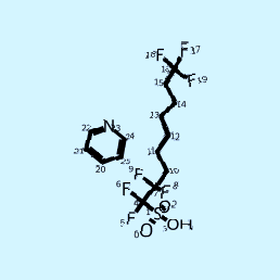 O=S(=O)(O)C(F)(F)C(F)(F)CCCCCCC(F)(F)F.c1ccncc1